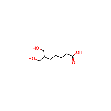 O=C(O)CCCCC(CO)CO